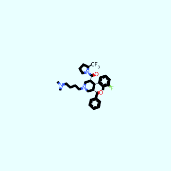 Cc1c(F)cccc1[C@H]1[C@@H](C(=O)N2CCC[C@H]2C(F)(F)F)CN(CCCCN(C)C)C[C@H]1C(=O)c1ccccc1